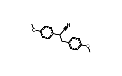 COc1ccc(CC(C#N)c2ccc(OC)cc2)cc1